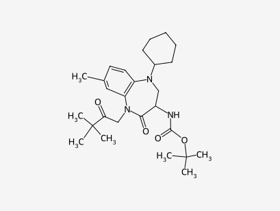 Cc1ccc2c(c1)N(CC(=O)C(C)(C)C)C(=O)C(NC(=O)OC(C)(C)C)CN2C1CCCCC1